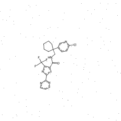 O=C(NCC1(c2ccc(Cl)nc2)CCCCC1)c1sc(-c2ncccn2)nc1C(F)(F)F